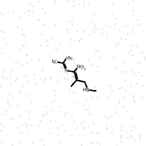 CBC/C(C)=C(/N=C(/C#N)CCCC)[N+](=O)[O-]